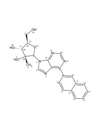 C[C@]1(O)C(n2cnc3c(-c4ccc5ccccc5c4)ncnc32)O[C@H](CO)[C@H]1O